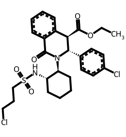 CCOC(=O)[C@@H]1c2ccccc2C(=O)N([C@H]2CCCC[C@@H]2NS(=O)(=O)CCCCl)[C@H]1c1ccc(Cl)cc1